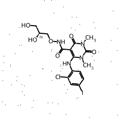 Cn1c(Nc2ccc(I)cc2Cl)c(C(=O)NOC[C@@H](O)CO)c(=O)n(C)c1=O